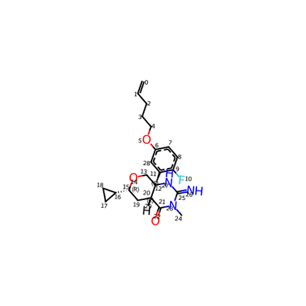 C=CCCCOc1ccc(F)c([C@]23CO[C@@H](C4CC4)C[C@H]2C(=O)N(C)C(=N)N3)c1